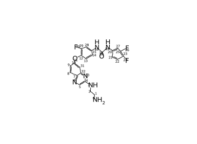 NCCNc1cnc2ccc(Oc3ccc(NC(=O)Nc4ccc(F)c(F)c4)cc3F)cc2n1